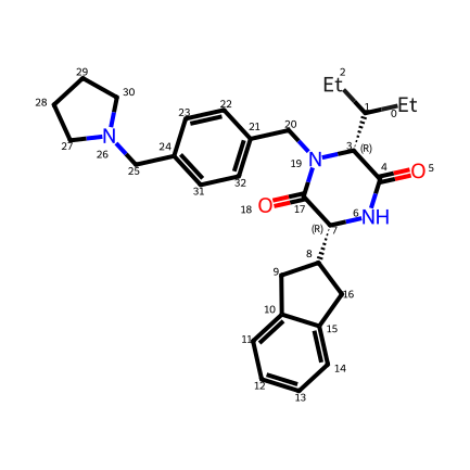 CCC(CC)[C@@H]1C(=O)N[C@H](C2Cc3ccccc3C2)C(=O)N1Cc1ccc(CN2CCCC2)cc1